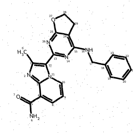 Cc1nc2c(C(N)=O)cccn2c1-c1nc(NCc2ccccc2)c2c(n1)OCC2